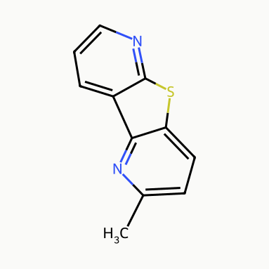 Cc1ccc2sc3ncccc3c2n1